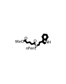 CCCCCN(CCc1c[nH]c2ccccc12)C(=O)CCCC(=O)OC